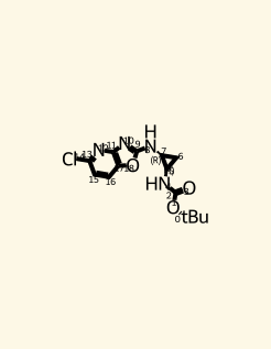 CC(C)(C)OC(=O)N[C@@H]1C[C@H]1Nc1nc2nc(Cl)ccc2o1